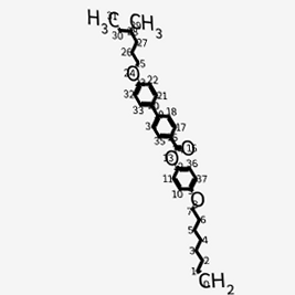 C=CCCCCCCOc1ccc(OC(=O)c2ccc(-c3ccc(OCCCC(C)CC)cc3)cc2)cc1